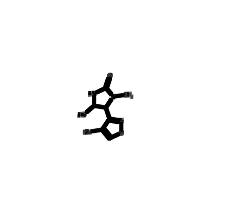 CN1C(=O)NC(O)C1c1nocc1C(C)(C)C